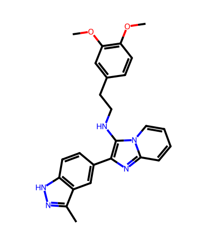 COc1ccc(CCNc2c(-c3ccc4[nH]nc(C)c4c3)nc3ccccn23)cc1OC